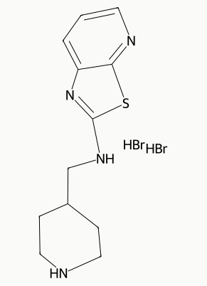 Br.Br.c1cnc2sc(NCC3CCNCC3)nc2c1